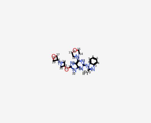 CC(C)c1nc2ccccc2n1-c1nc(N2CCOCC2)c2nc(OC3CN(C4COC4)C3)n(C)c2n1